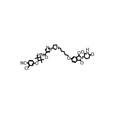 CC1(C)C(NC(=O)c2cnn(C3CCN(CCCCCOc4ccc5c(c4)C(=O)N(C4CCC(=O)NC4=O)C5=O)C3)c2)C(C)(C)C1Oc1ccc(C#N)c(Cl)c1